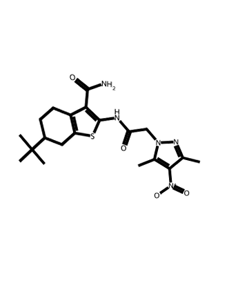 Cc1nn(CC(=O)Nc2sc3c(c2C(N)=O)CCC(C(C)(C)C)C3)c(C)c1[N+](=O)[O-]